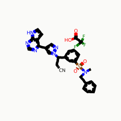 CN(Cc1ccccc1)S(=O)(=O)c1cccc(C(CC#N)n2cc(-c3ncnc4[nH]ccc34)cn2)c1.O=C(O)C(F)(F)F